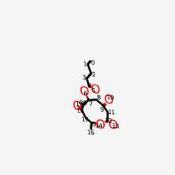 CCCCC(=O)OC1CC(=O)CC(=O)OC(C)CC2OC12